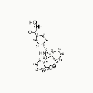 O=C(NO)c1ccc(CNC2c3ccccc3COc3ccccc32)cc1